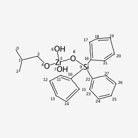 CC(C)C[O][Zr]([OH])([OH])[O][Si](c1ccccc1)(c1ccccc1)c1ccccc1